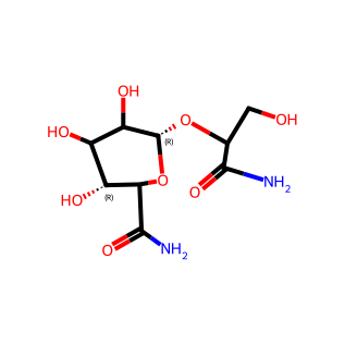 NC(=O)C(CO)O[C@@H]1OC(C(N)=O)[C@H](O)C(O)C1O